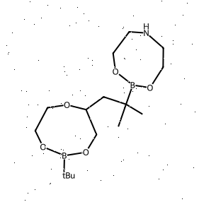 CC(C)(C)B1OCCOC(CC(C)(C)B2OCCNCCO2)CO1